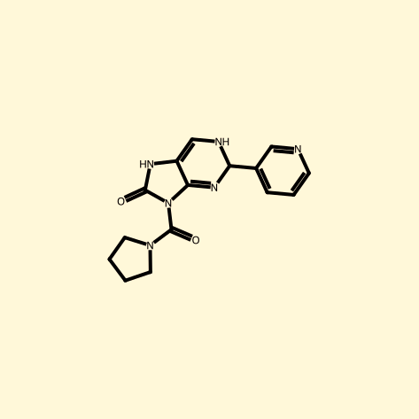 O=C(N1CCCC1)n1c(=O)[nH]c2c1=NC(c1cccnc1)NC=2